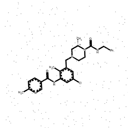 Cc1ccc(C(=O)Nc2cc(Cl)cc(CN3CCN(C(=O)NCC(C)C)[C@@H](C)C3)c2C)cn1